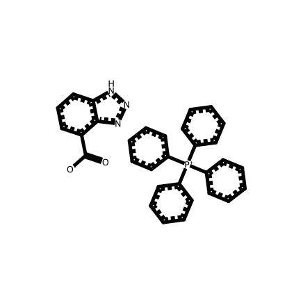 O=C([O-])c1cccc2[nH]nnc12.c1ccc([P+](c2ccccc2)(c2ccccc2)c2ccccc2)cc1